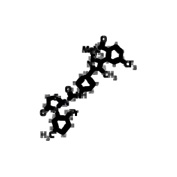 CNC(=O)c1ccc(C(F)(F)F)cc1-c1c(C)c(-c2ccc(NC(=O)/N=C3\SCC(=O)N3c3cc(C)ccc3C(C)C)cc2)nn1C